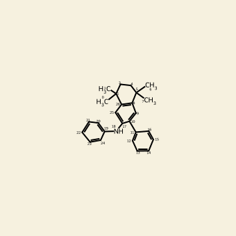 CC1(C)CCC(C)(C)c2cc(-c3ccccc3)c(Nc3ccccc3)cc21